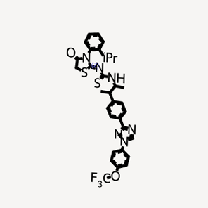 CC(C)c1ccccc1N1C(=O)CS/C1=N\C(=S)NC(C)C(C)c1ccc(-c2ncn(-c3ccc(OC(F)(F)F)cc3)n2)cc1